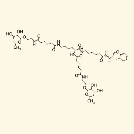 C[C@H]1C[C@@H](O)[C@H](O)[C@H](OCCNC(=O)CCCCC(=O)NCCCC[C@H](NC(=O)CCCCC(=O)NCCO[C@@H]2O[C@@H](C)C[C@@H](O)[C@@H]2O)C(=O)NCCCCCC(=O)NN[C@H](C=O)Cc2ccccc2)O1